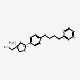 N[C@@]1(CO)CC[C@@H](c2ccc(CCCCc3ccccc3)cc2)C1